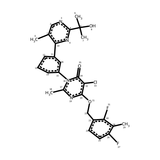 Cc1cnc(C(C)(C)O)nc1-c1cccc(-n2c(C)nc(OCc3ccc(F)c(C)c3F)c(Cl)c2=O)c1